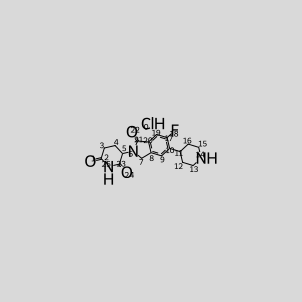 Cl.O=C1CCC(N2Cc3cc(C4CCNCC4)c(F)cc3C2=O)C(=O)N1